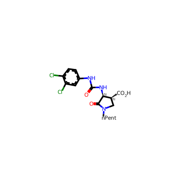 CCCCCN1C[C@H](C(=O)O)[C@H](NC(=O)Nc2ccc(Cl)c(Cl)c2)C1=O